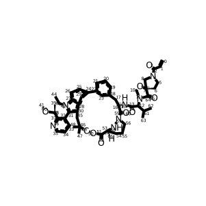 C=CC(=O)N1CC[C@]2(C1)OCN(C(C(=O)N[C@H]1Cc3cccc(c3)-c3ccc4c(c3)c(c(-c3cccnc3[C@H](C)OC)n4CC)CC(C)(C)COC(=O)[C@@H]3CCCN(N3)C1=O)C(C)C)C2=O